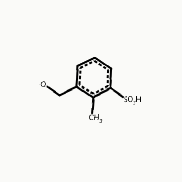 Cc1c(C[O])cccc1S(=O)(=O)O